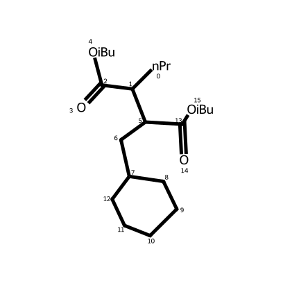 CCCC(C(=O)OCC(C)C)C(CC1CCCCC1)C(=O)OCC(C)C